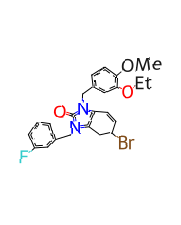 CCOc1cc(Cn2c3c(n(Cc4cccc(F)c4)c2=O)CC(Br)C=C3)ccc1OC